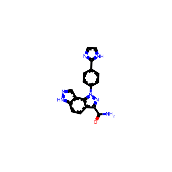 NC(=O)c1nn(-c2ccc(-c3ncc[nH]3)cc2)c2c1ccc1[nH]ncc12